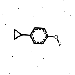 FOc1ccc(C2CC2)cc1